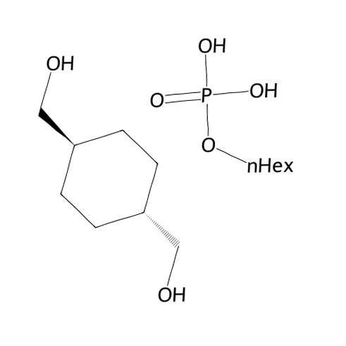 CCCCCCOP(=O)(O)O.OC[C@H]1CC[C@H](CO)CC1